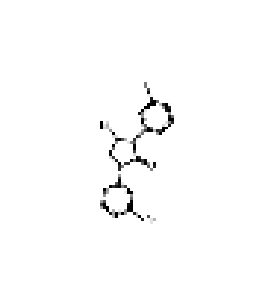 CCC1CN(c2cccc(C(C)C)c2)C(=O)C1c1cccc(F)c1